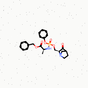 C[C@H](NP(=O)(OC[C@H]1C(=O)C2CCN1C2)Oc1ccccc1)C(=O)OCc1ccccc1